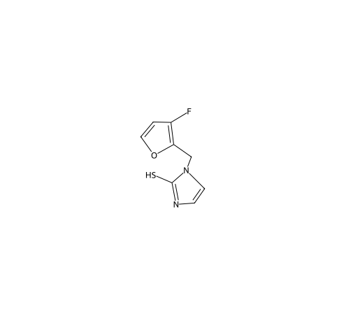 Fc1ccoc1Cn1ccnc1S